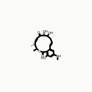 CNc1cc(O)c2c(c1)/C=C/CC(O)[C@H](O)C(=O)/C=C\[C@@H](C)C(C)OC2=O